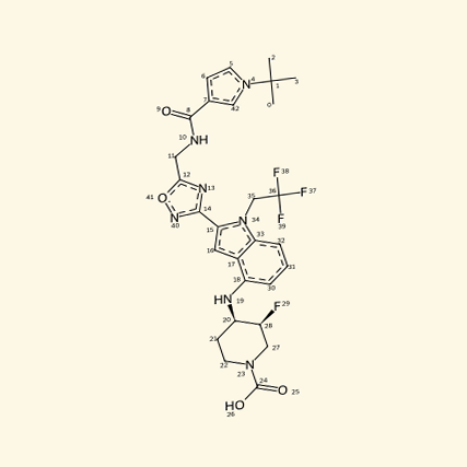 CC(C)(C)n1ccc(C(=O)NCc2nc(-c3cc4c(N[C@@H]5CCN(C(=O)O)C[C@@H]5F)cccc4n3CC(F)(F)F)no2)c1